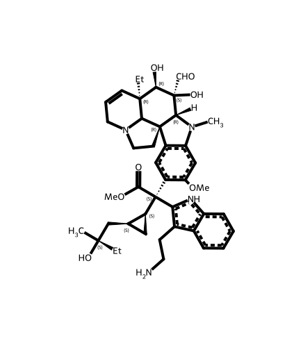 CC[C@](C)(O)C[C@@H]1C[C@@H]1[C@](C(=O)OC)(c1cc2c(cc1OC)N(C)[C@H]1[C@@](O)(C=O)[C@H](O)[C@]3(CC)C=CCN4CC[C@]21C43)c1[nH]c2ccccc2c1CCN